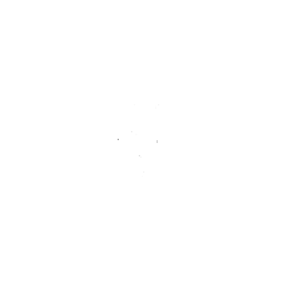 Oc1c(-c2ccccc2)cnc2ccc(Br)cc12